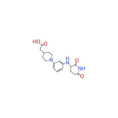 O=C(O)CC1CCN(c2cccc(NC3CCC(=O)NC3=O)c2)CC1